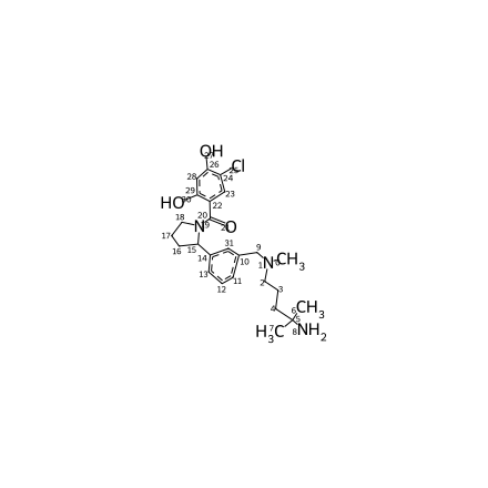 CN(CCCC(C)(C)N)Cc1cccc(C2CCCN2C(=O)c2cc(Cl)c(O)cc2O)c1